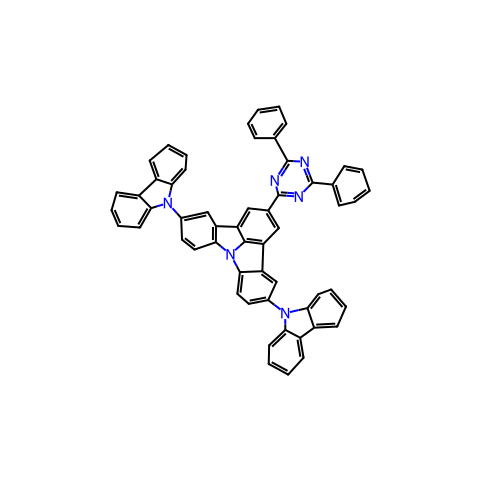 c1ccc(-c2nc(-c3ccccc3)nc(-c3cc4c5cc(-n6c7ccccc7c7ccccc76)ccc5n5c6ccc(-n7c8ccccc8c8ccccc87)cc6c(c3)c45)n2)cc1